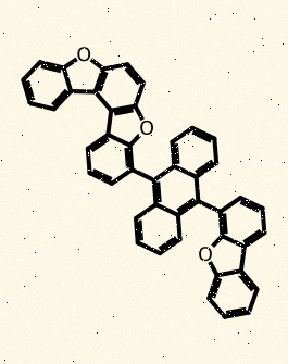 c1ccc2c(c1)oc1c(-c3c4ccccc4c(-c4cccc5c4oc4ccc6oc7ccccc7c6c45)c4ccccc34)cccc12